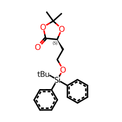 CC1(C)OC(=O)[C@H](CCO[Si](c2ccccc2)(c2ccccc2)C(C)(C)C)O1